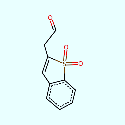 O=CCC1=Cc2ccccc2S1(=O)=O